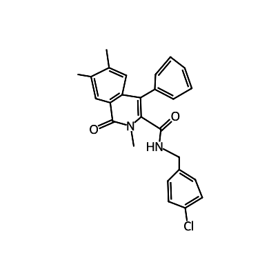 Cc1cc2c(-c3ccccc3)c(C(=O)NCc3ccc(Cl)cc3)n(C)c(=O)c2cc1C